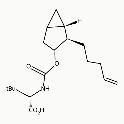 C=CCCC[C@H]1[C@H](OC(=O)N[C@H](C(=O)O)C(C)(C)C)CC2C[C@@H]21